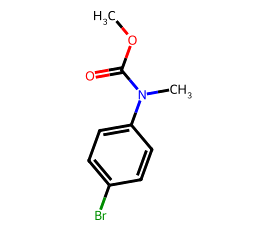 COC(=O)N(C)c1ccc(Br)cc1